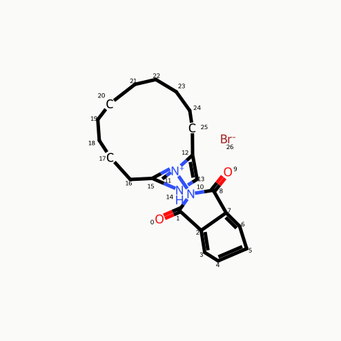 O=C1c2ccccc2C(=O)N1[n+]1c2c[nH]c1CCCCCCCCCC2.[Br-]